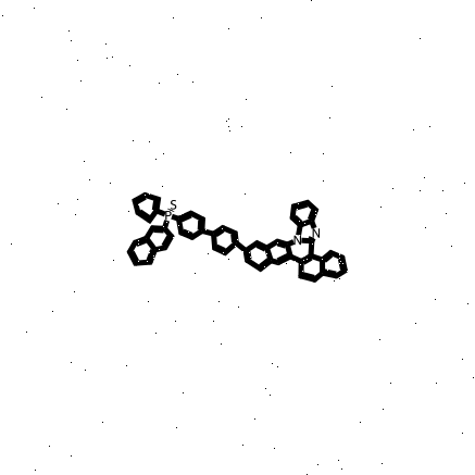 S=P(c1ccccc1)(c1ccc(-c2ccc(-c3ccc4cc5c6ccc7ccccc7c6c6nc7ccccc7n6c5cc4c3)cc2)cc1)c1ccc2ccccc2c1